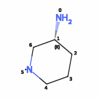 N[C@@H]1CCC[N]C1